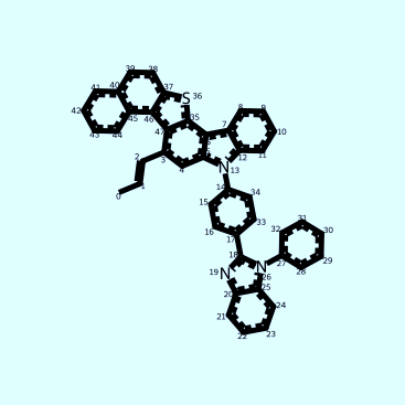 C/C=C/c1cc2c(c3ccccc3n2-c2ccc(-c3nc4ccccc4n3-c3ccccc3)cc2)c2sc3ccc4ccccc4c3c12